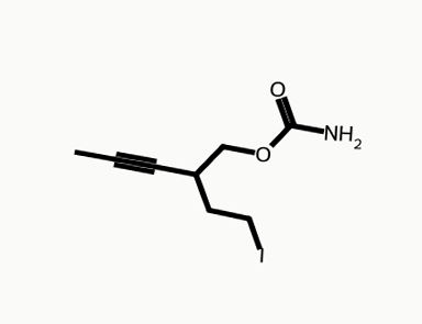 CC#CC(CCI)COC(N)=O